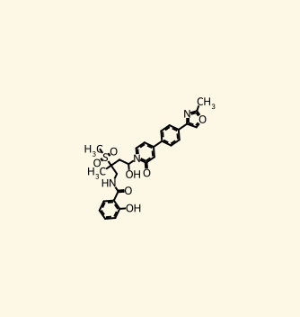 Cc1nc(-c2ccc(-c3ccn(C(O)CC(C)(CNC(=O)c4ccccc4O)S(C)(=O)=O)c(=O)c3)cc2)co1